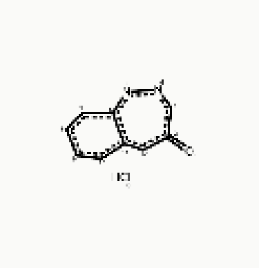 Cl.O=c1cnnc2ccccc2c1